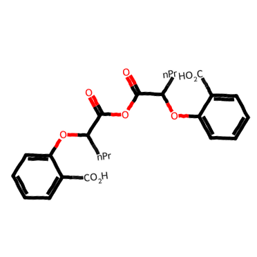 CCCC(Oc1ccccc1C(=O)O)C(=O)OC(=O)C(CCC)Oc1ccccc1C(=O)O